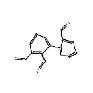 O=Cc1ccccc1-c1cccc(C=O)c1C=O